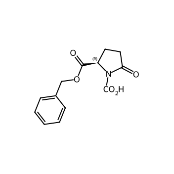 O=C(OCc1ccccc1)[C@H]1CCC(=O)N1C(=O)O